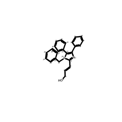 OCC=Cc1nc(-c2ccccc2)c(-c2ccccc2)n1Cc1ccccc1